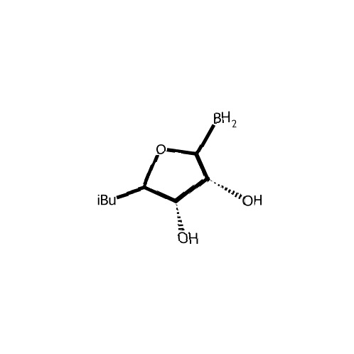 BC1OC(C(C)CC)[C@@H](O)[C@H]1O